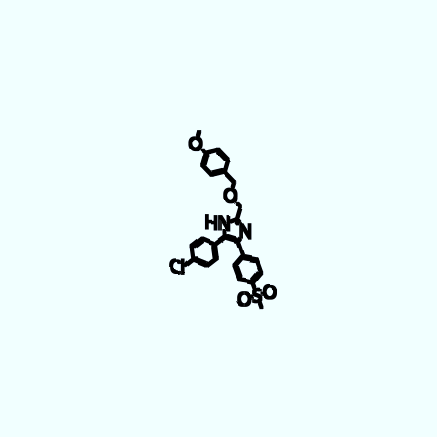 COc1ccc(COCc2nc(-c3ccc(S(C)(=O)=O)cc3)c(-c3ccc(Cl)cc3)[nH]2)cc1